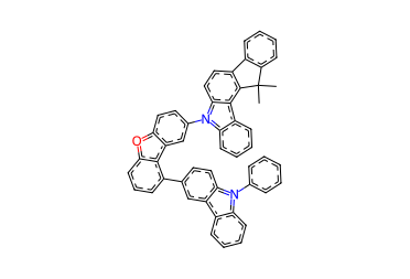 CC1(C)c2ccccc2-c2ccc3c(c21)c1ccccc1n3-c1ccc2oc3cccc(-c4ccc5c(c4)c4ccccc4n5-c4ccccc4)c3c2c1